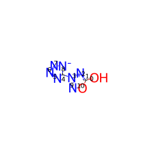 Oc1n[n+](-c2nnn[n-]2)no1